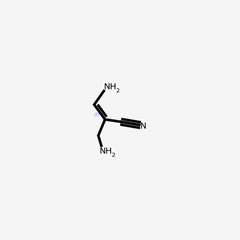 N#C/C(=C\N)CN